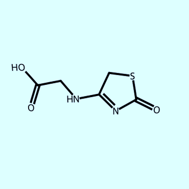 O=C(O)CNC1=NC(=O)SC1